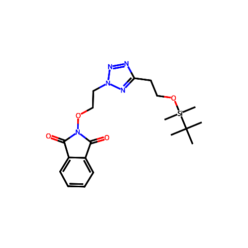 CC(C)(C)[Si](C)(C)OCCc1nnn(CCON2C(=O)c3ccccc3C2=O)n1